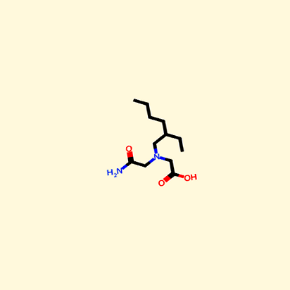 CCCCC(CC)CN(CC(N)=O)CC(=O)O